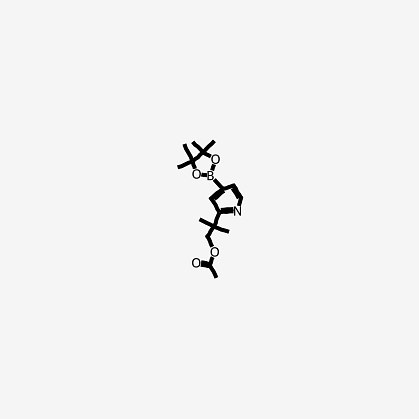 CC(=O)OCC(C)(C)c1cc(B2OC(C)(C)C(C)(C)O2)ccn1